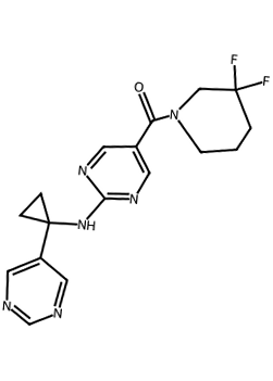 O=C(c1cnc(NC2(c3cncnc3)CC2)nc1)N1CCCC(F)(F)C1